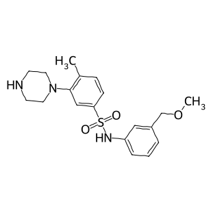 COCc1cccc(NS(=O)(=O)c2ccc(C)c(N3CCNCC3)c2)c1